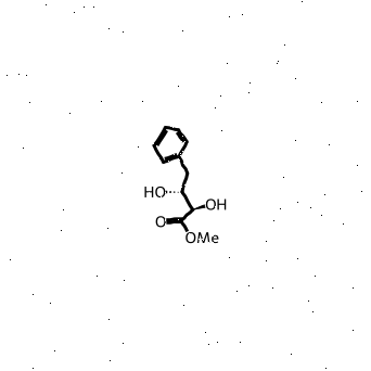 COC(=O)[C@H](O)[C@H](O)Cc1ccccc1